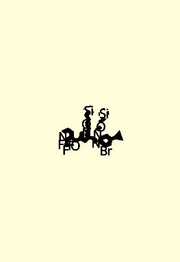 C[Si](C)(C)CCOCn1cc(C(=O)c2cccnc2C(F)(F)F)cc1-c1nc2c(Br)cc(C3CC3)cc2n1COCC[Si](C)(C)C